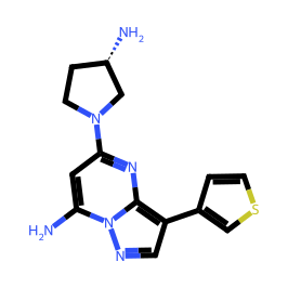 Nc1cc(N2CC[C@H](N)C2)nc2c(-c3ccsc3)cnn12